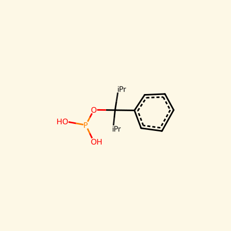 CC(C)C(OP(O)O)(c1ccccc1)C(C)C